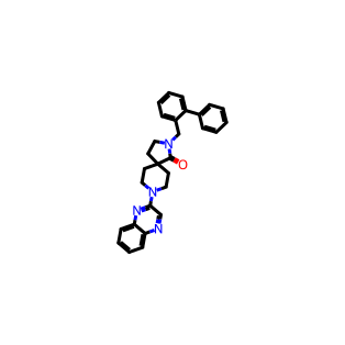 O=C1N(Cc2ccccc2-c2ccccc2)CCC12CCN(c1cnc3ccccc3n1)CC2